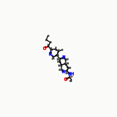 CCCC(=O)c1cc(C)c(-c2cc3cnc(NC(C)=O)cc3cn2)cn1